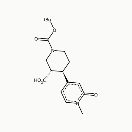 Cn1ccc([C@@H]2CCN(C(=O)OC(C)(C)C)C[C@H]2C(=O)O)cc1=O